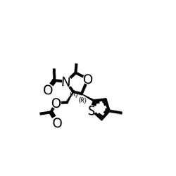 CC(=O)OC[C@@H]1[C@H](c2cc(C)cs2)OC(C)N1C(C)=O